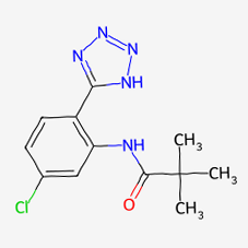 CC(C)(C)C(=O)Nc1cc(Cl)ccc1-c1nnn[nH]1